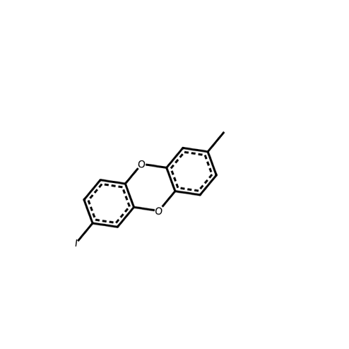 Cc1ccc2c(c1)Oc1ccc(I)cc1O2